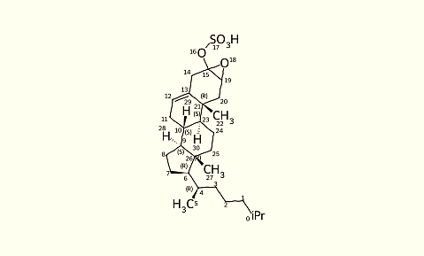 CC(C)CCC[C@@H](C)[C@H]1CC[C@H]2[C@@H]3CC=C4CC5(OS(=O)(=O)O)OC5C[C@]4(C)[C@H]3CC[C@]12C